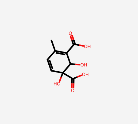 CC1=C(C(=O)O)C(O)C(O)(C(=O)O)C=C1